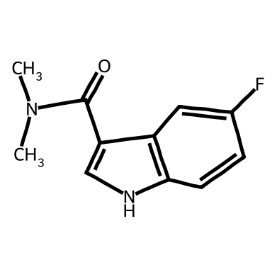 CN(C)C(=O)c1c[nH]c2ccc(F)cc12